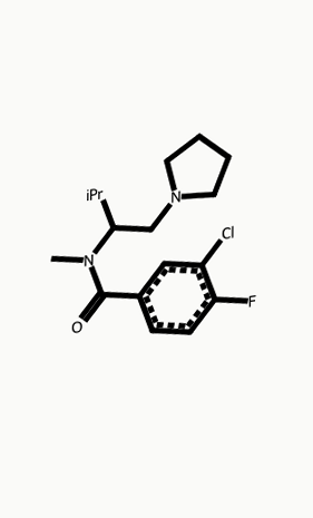 CC(C)C(CN1CCCC1)N(C)C(=O)c1ccc(F)c(Cl)c1